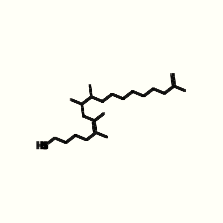 C=C(C)CCCCCCCC(C)C(C)C/C(C)=C(/C)CCCCS